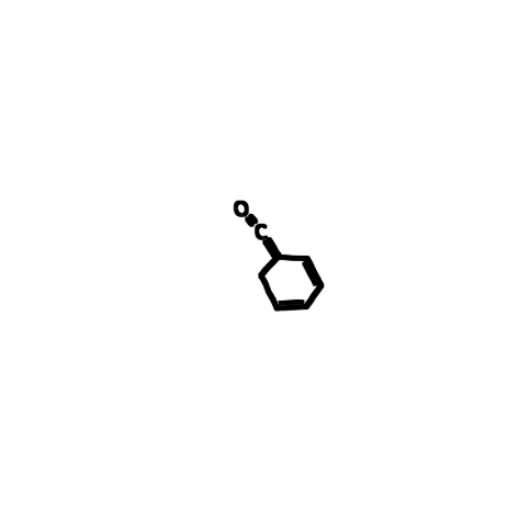 O=C=C1C=CC=CC1